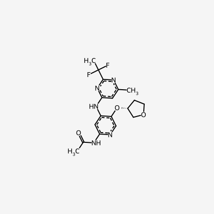 CC(=O)Nc1cc(Nc2cc(C)nc(C(C)(F)F)n2)c(O[C@@H]2CCOC2)cn1